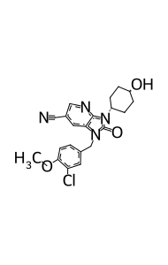 COc1ccc(Cn2c(=O)n([C@H]3CC[C@H](O)CC3)c3ncc(C#N)cc32)cc1Cl